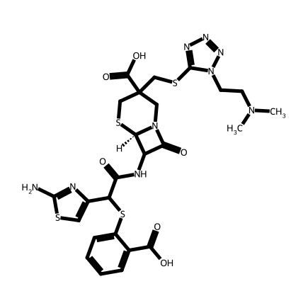 CN(C)CCn1nnnc1SCC1(C(=O)O)CS[C@@H]2C(NC(=O)C(Sc3ccccc3C(=O)O)c3csc(N)n3)C(=O)N2C1